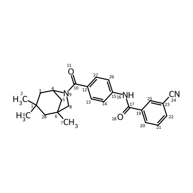 CC1(C)CC2CC(C)(CN2C(=O)c2ccc(NC(=O)c3cccc(C#N)c3)cc2)C1